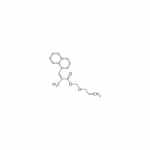 C=CCOCOC(=O)C(C)=Cc1cccc2ccccc12